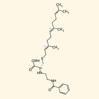 COC(=O)[C@H](CSC/C=C(\C)CC/C=C(\C)CCC=C(C)C)NCCNC(=O)c1ccccc1